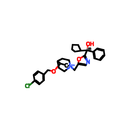 O[C@](c1ccccc1)(c1ncc(C[N+]23CCC(CC2)C(OCc2ccc(Cl)cc2)C3)o1)C1CCCC1